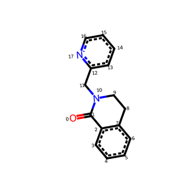 O=C1c2ccccc2CCN1Cc1ccccn1